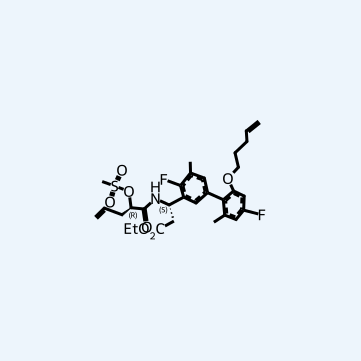 C=CCCCOc1cc(F)cc(C)c1-c1cc(C)c(F)c([C@H](CC(=O)OCC)NC(=O)[C@@H](CC=C)OS(C)(=O)=O)c1